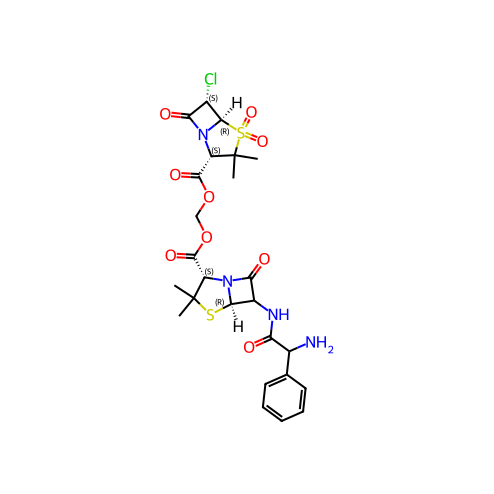 CC1(C)S[C@@H]2C(NC(=O)C(N)c3ccccc3)C(=O)N2[C@H]1C(=O)OCOC(=O)[C@@H]1N2C(=O)[C@H](Cl)[C@H]2S(=O)(=O)C1(C)C